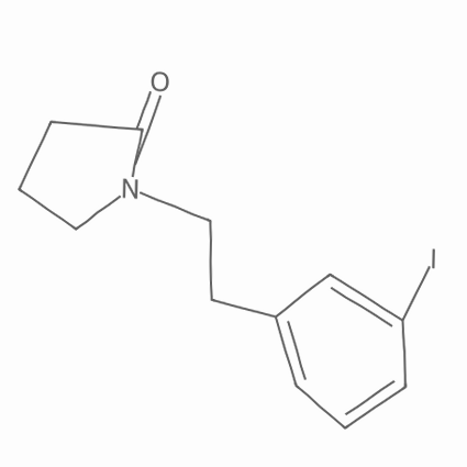 O=C1CCCN1CCc1cccc(I)c1